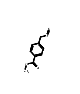 COC(=O)c1ccc(C[S+]=O)cc1